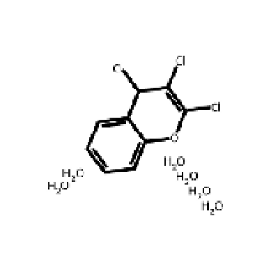 ClC1=C(Cl)C(Cl)c2ccccc2O1.O.O.O.O.O.O